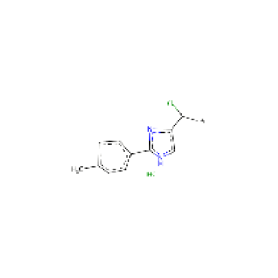 Cc1ccc(-c2nc(C(Cl)C(C)C)c[nH]2)cc1.Cl